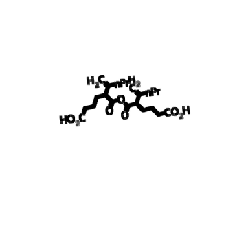 C=C(CCC)C(CCCC(=O)O)C(=O)OC(=O)C(CCCC(=O)O)C(=C)CCC